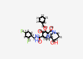 O=C(NCc1ccc(F)cc1F)c1cn2c(c(OCc3ccccc3)c1=O)C(=O)N1CCC[C@H](O)[C@@H]2C1